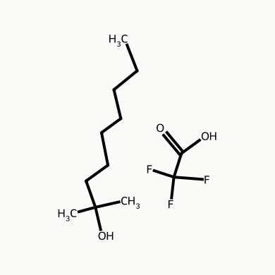 CCCCCCCC(C)(C)O.O=C(O)C(F)(F)F